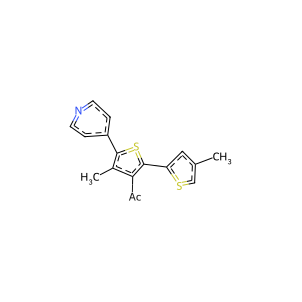 CC(=O)c1c(-c2cc(C)cs2)sc(-c2ccncc2)c1C